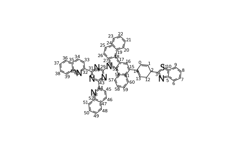 C1=CC(c2nc3ccccc3s2)CC=C1c1cc2c3c4ccccc4ccc3n(-c3nc(-c4ccc5ccccc5n4)nc(-c4ccc5ccccc5n4)n3)c2c2ccccc12